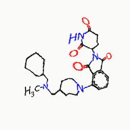 CN(CC1CCCCC1)CC1CCN(c2cccc3c2C(=O)N(C2CCC(=O)NC2=O)C3=O)CC1